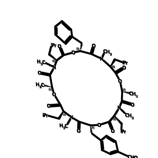 CC(C)C[C@H]1C(=O)O[C@H](Cc2ccc(C=O)cc2)C(=O)N(C)[C@@H](CC(C)C)C(=O)O[C@H](C)C(=O)N(C)[C@@H](CC(C)C)C(=O)O[C@H](Cc2ccccc2)C(=O)N(C)[C@@H](CC(C)C)C(=O)O[C@H](C)C(=O)N1C